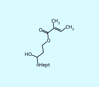 CC=C(C)C(=O)OCCC(O)CCCCCCC